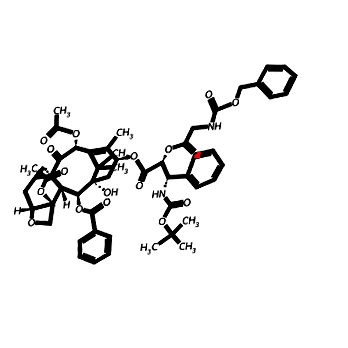 CC(=O)O[C@H]1C(=O)[C@]23CC2C[C@H]2OC[C@@]2(OC(C)=O)[C@H]3[C@H](OC(=O)c2ccccc2)[C@]2(O)C[C@H](OC(=O)[C@H](OC(=O)CNC(=O)OCc3ccccc3)[C@@H](NC(=O)OC(C)(C)C)c3ccccc3)C(C)=C1C2(C)C